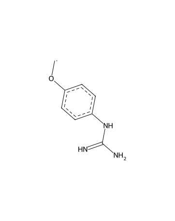 [CH2]Oc1ccc(NC(=N)N)cc1